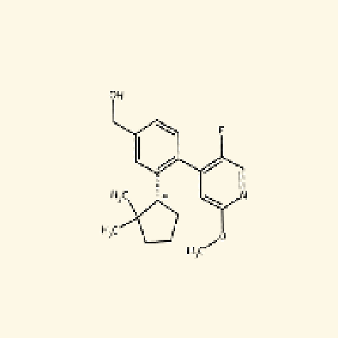 COc1cc(-c2ccc(CO)cc2[C@@H]2CCCC2(C)C)c(F)cn1